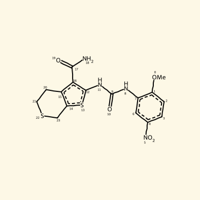 COc1ccc([N+](=O)[O-])cc1NC(=O)Nc1sc2c(c1C(N)=O)CCSC2